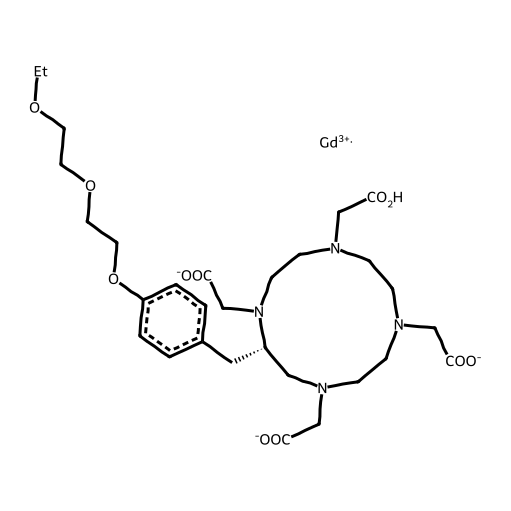 CCOCCOCCOc1ccc(C[C@H]2CN(CC(=O)[O-])CCN(CC(=O)[O-])CCN(CC(=O)O)CCN2CC(=O)[O-])cc1.[Gd+3]